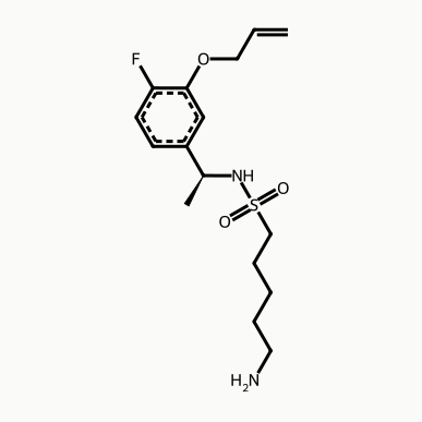 C=CCOc1cc([C@H](C)NS(=O)(=O)CCCCCN)ccc1F